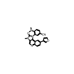 CN(C)c1ccc(C#N)cc1-n1c(=O)n(C)c2cnc3ccc(-c4ccoc4)cc3c21